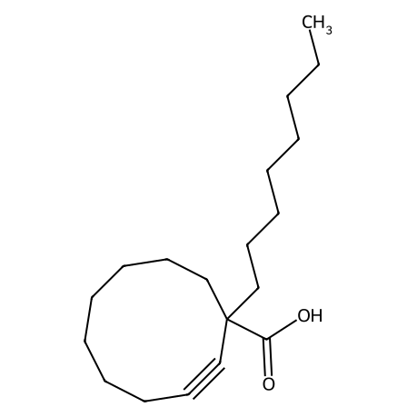 CCCCCCCCC1(C(=O)O)C#CCCCCCCC1